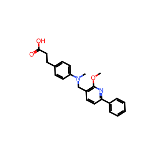 COc1nc(-c2ccccc2)ccc1CN(C)c1ccc(CCC(=O)O)cc1